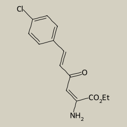 CCOC(=O)/C(N)=C\C(=O)/C=C/c1ccc(Cl)cc1